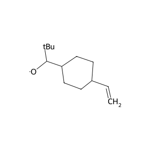 C=CC1CCC(C([O])C(C)(C)C)CC1